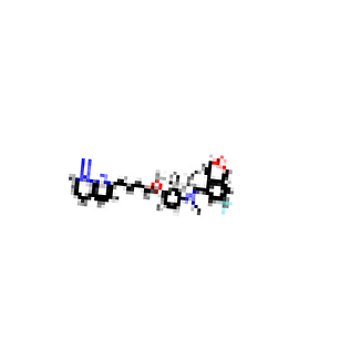 C[C@@H]1COCc2cc(F)cc(C(C(=O)O)N(C)[C@H]3CC[C@H](OCCCCc4ccc5c(n4)NCCC5)C3)c21